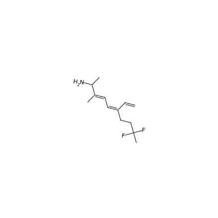 C=C/C(=C\C=C(/C)C(C)N)CCC(C)(F)F